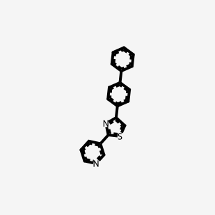 c1ccc(-c2ccc(-c3csc(-c4cccnc4)n3)cc2)cc1